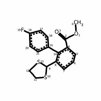 COC(=O)c1cccc(C2SCCS2)c1-c1ccc(F)cc1